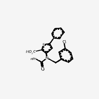 CCCC(=O)N(Cc1cccc(Cl)c1)c1cc(-c2ccccc2)sc1C(=O)O